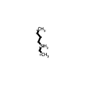 C[CH][SiH2]CCCC